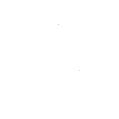 OC1(c2cccc(Sc3ccc4c(-c5ccccc5)cc5nncn5c4c3)n2)CCOCC1